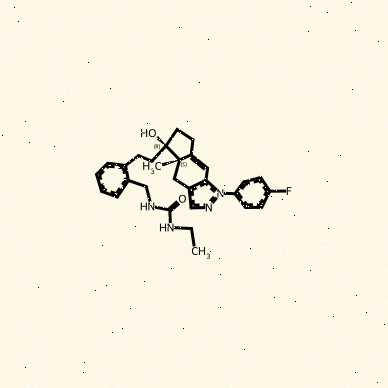 CCNC(=O)NCc1ccccc1CC[C@]1(O)CCC2=Cc3c(cnn3-c3ccc(F)cc3)C[C@@]21C